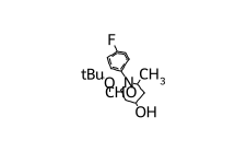 CC(C)(C)OC=O.CC1CC(O)CCN1c1ccc(F)cc1